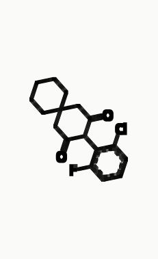 O=C1CC2(CCCCC2)CC(=O)C1c1c(F)cccc1Cl